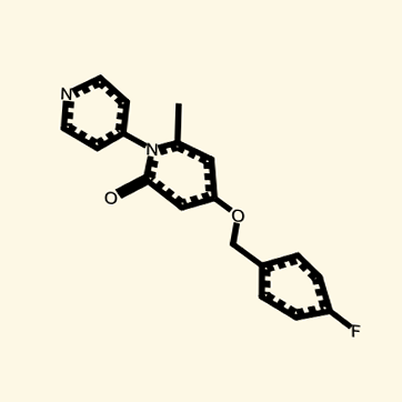 Cc1cc(OCc2ccc(F)cc2)cc(=O)n1-c1ccncc1